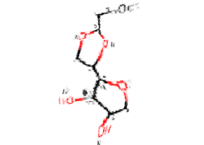 CCCCCCCCCC1OCC([C@H]2OCC(O)[C@H]2O)O1